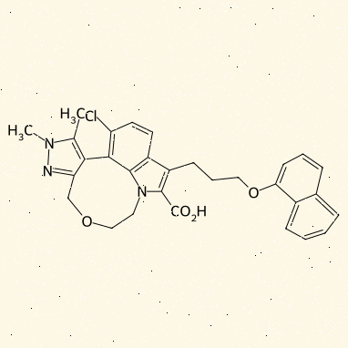 Cc1c2c(nn1C)COCCn1c(C(=O)O)c(CCCOc3cccc4ccccc34)c3ccc(Cl)c-2c31